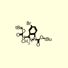 CN(C(=O)OC(C)(C)C)c1nn(C(=O)OC(C)(C)C)c2ccc(Br)cc12